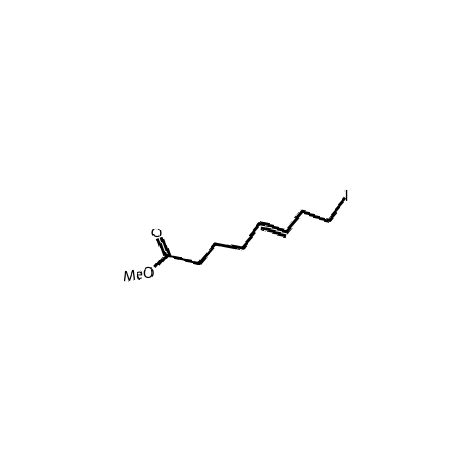 COC(=O)CCCC=CCCI